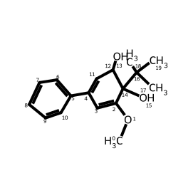 COC1=CC(c2ccccc2)=CC(O)C1(O)C(C)(C)C